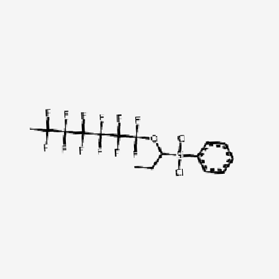 CCC(OC(F)(F)C(F)(F)C(F)(F)C(F)(F)C(F)(F)C(C)(F)F)[Si](Cl)(Cl)c1ccccc1